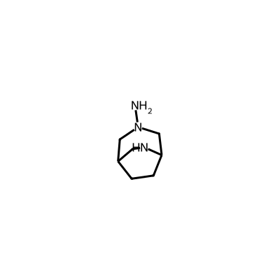 NN1CC2CCC(C1)NC2